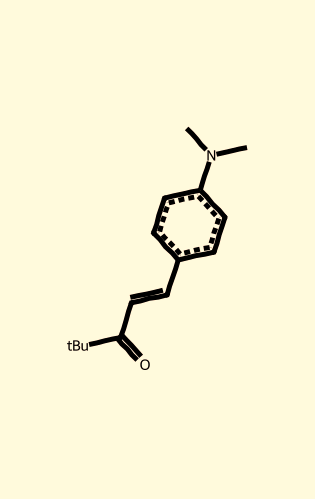 CN(C)c1ccc(/C=C/C(=O)C(C)(C)C)cc1